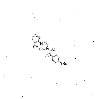 Cc1ccnnc1N1CCN(C(=O)Nc2ccc(C(C)(C)C)cc2)CC1